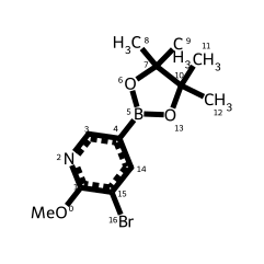 COc1ncc(B2OC(C)(C)C(C)(C)O2)cc1Br